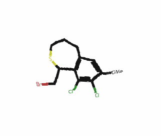 COc1cc2c(c(Cl)c1Cl)C(CBr)SCCC2